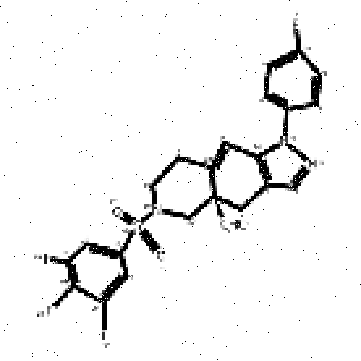 O=C[C@]12Cc3cnn(-c4ccc(F)cc4)c3C=C1CCN(S(=O)(=O)c1cc(F)c(F)c(F)c1)C2